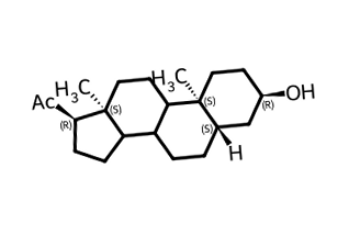 CC(=O)[C@@H]1CCC2C3CC[C@H]4C[C@H](O)CC[C@]4(C)C3CC[C@@]21C